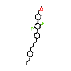 CCCC1CCC(CCCCc2ccc(-c3cc(F)c(C4CCC(COC)CC4)cc3F)cc2)CC1